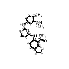 CNc1cc(Nc2nccc(Nc3ccc4c(c3C(N)=O)OCC4)n2)ccc1C